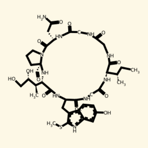 CC[C@H](C)[C@@H]1NC(=O)CNC(=O)C(Cc2c(SC)[nH]c3cc(O)ccc23)NC(=O)[C@H]([C@@H](C)[C@@H](O)CO)N[C@@]2(C=O)CCCN2C(=O)[C@H](CC(N)=O)NC(=O)CNC(=O)CNC1=O